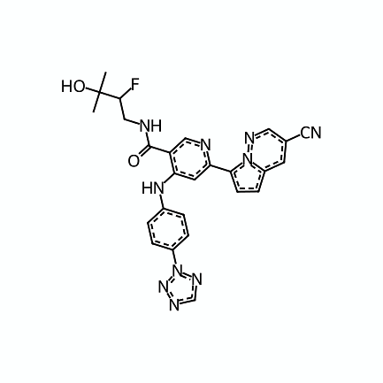 CC(C)(O)C(F)CNC(=O)c1cnc(-c2ccc3cc(C#N)cnn23)cc1Nc1ccc(-n2ncnn2)cc1